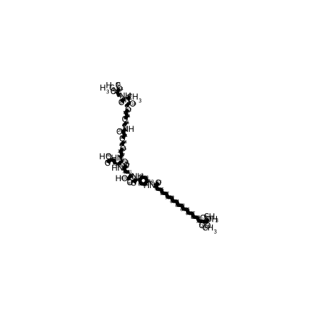 COC(CNC(=O)N(C)C(=O)COCCOCCNC(=O)COCCOCCNC(=O)[C@H](CCC(=O)O)NC(=O)CC[C@H](NC(=O)[C@H]1CC[C@H](CNC(=O)CCCCCCCCCCCCCCCCCC(OC)(OC)C(=O)O)CC1)C(=O)O)OC